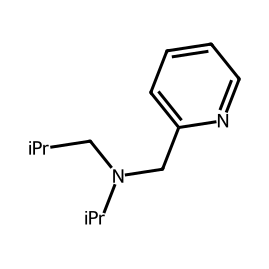 CC(C)CN(Cc1ccccn1)C(C)C